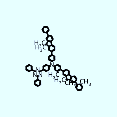 Cc1ccccc1-c1ccc2c(c1)C(C)(C)c1cc(-c3ccc(N(c4ccc(-c5ccc6c(c5)C(C)(C)c5cc(-c7ccccc7)ccc5-6)cc4)c4ccc(-c5nc(-c6ccccc6)nc(-c6ccccc6)n5)cc4)cc3C)ccc1-2